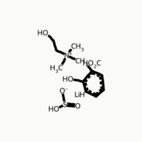 C[N+](C)(C)CCO.O=C(O)c1ccccc1O.O=S([O-])O.[LiH]